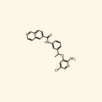 CC(Oc1cc(Cl)cnc1N)c1cccc(NC(=O)c2ccc3cnccc3c2)c1